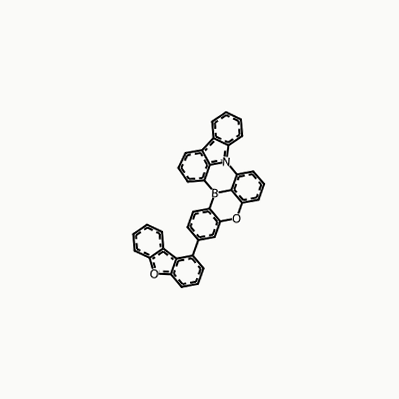 c1cc2c3c(c1)-n1c4ccccc4c4cccc(c41)B3c1ccc(-c3cccc4oc5ccccc5c34)cc1O2